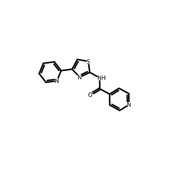 O=C(Nc1nc(-c2ccccn2)cs1)c1ccncc1